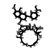 COc1ccc2c(O[C@@H]3C[C@H]4C(=O)N[C@]5(C(=O)O)C[C@H]5C/C=C\CCCCN(C)C(=O)[C@@H]4C3)cc(-c3cccc(C(C)C)n3)nc2c1C